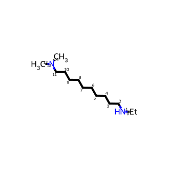 CCNCCCCCCCCCCN(C)C